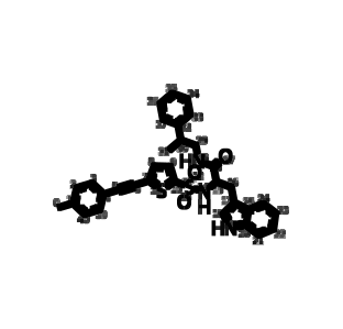 Cc1ccc(C#Cc2ccc(S(=O)(=O)NC(Cc3c[nH]c4ccccc34)C(=O)NCC(C)c3ccccc3)s2)cc1